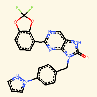 O=c1[nH]c2cnc(-c3cccc4c3OC(F)(F)O4)nc2n1Cc1ccc(-n2cccn2)cc1